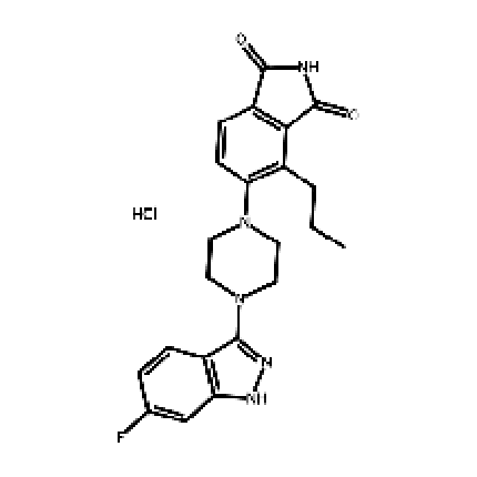 CCCc1c(N2CCN(c3n[nH]c4cc(F)ccc34)CC2)ccc2c1C(=O)NC2=O.Cl